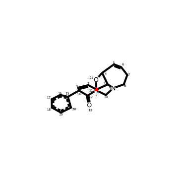 C=CCC1C2C=CCCN1CN(C(=O)Cc1ccccc1)O2